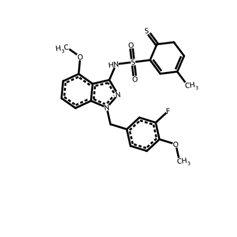 COc1ccc(Cn2nc(NS(=O)(=O)C3=CC(C)=CCC3=S)c3c(OC)cccc32)cc1F